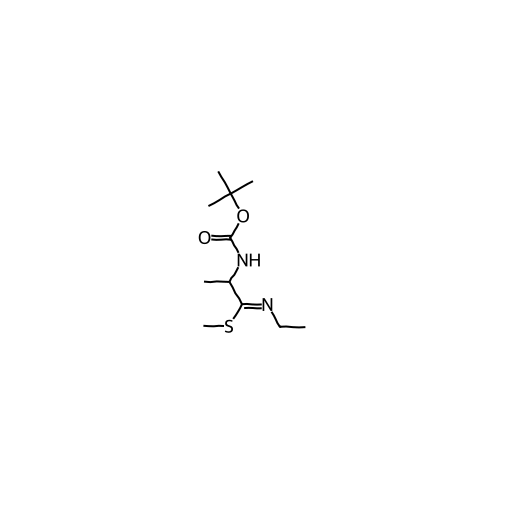 CCN=C(SC)C(C)NC(=O)OC(C)(C)C